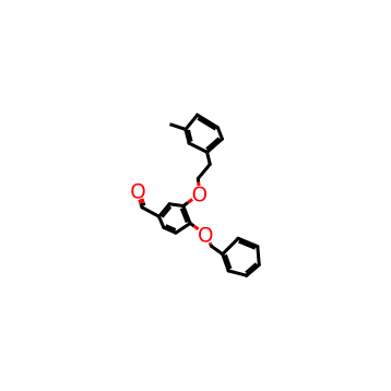 Cc1cccc(CCOc2cc(C=O)ccc2OCc2ccccc2)c1